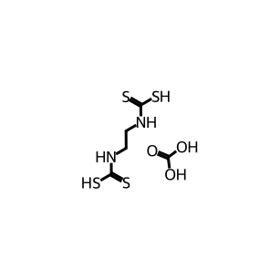 O=C(O)O.S=C(S)NCCNC(=S)S